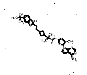 CC(C)(C)c1ccc2[nH]c(CCC3CC(C(C)(C)NC[C@@H]4C[C@@H](O)[C@H](n5ccc6c(N)ncnc65)C4)C3)nc2c1